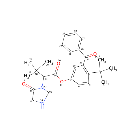 CC(C)(C)c1ccc(OC(=O)C(N2CNCC2=O)C(C)(C)C)cc1C(=O)c1ccccc1